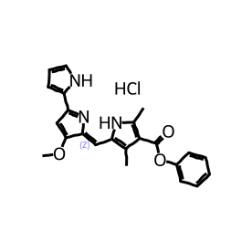 COC1=CC(c2ccc[nH]2)=N/C1=C\c1[nH]c(C)c(C(=O)Oc2ccccc2)c1C.Cl